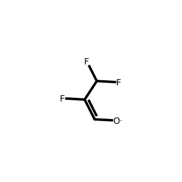 [O]/C=C(/F)C(F)F